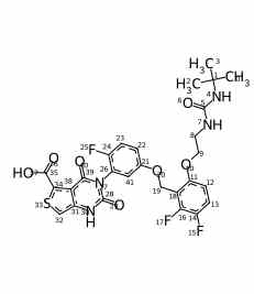 CC(C)(C)NC(=O)NCCOc1ccc(F)c(F)c1COc1ccc(F)c(-n2c(=O)[nH]c3csc(C(=O)O)c3c2=O)c1